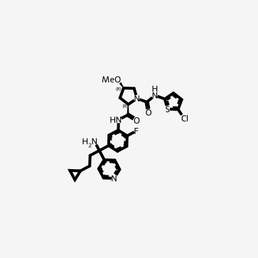 CO[C@@H]1C[C@H](C(=O)Nc2cc(C(N)(CCC3CC3)c3ccncc3)ccc2F)N(C(=O)Nc2ccc(Cl)s2)C1